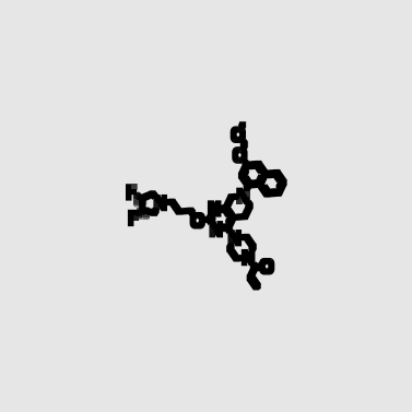 C=CC(=O)N1CCN(c2nc(OCCCN3C[C@@H](F)[C@@H](F)C3)nc3c2CCN(c2cc(OCOC)cc4ccccc24)C3)CC1